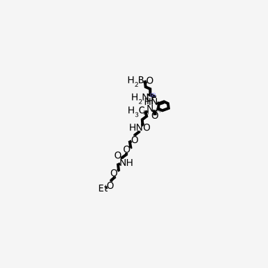 BC(=O)CC/C(N)=C/NC1=CCCC[C@H]1C(=O)N[C@H](C)CCC(=O)NCCOCCOCC(=O)NCCOCCOCC